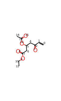 C=CC(=O)CC(CC(=O)OCC)OC(C)=O